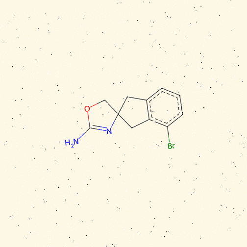 NC1=NC2(CO1)Cc1cccc(Br)c1C2